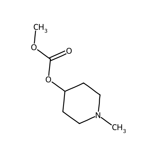 COC(=O)OC1CCN(C)CC1